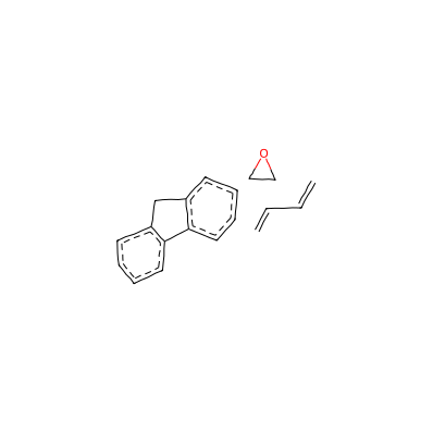 C1CO1.C=CC=C.c1ccc2c(c1)Cc1ccccc1-2